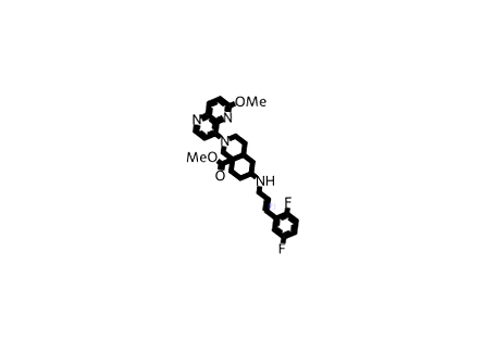 COC(=O)C12CCC(NC/C=C/c3cc(F)ccc3F)CC1CCN(c1ccnc3ccc(OC)nc13)C2